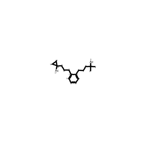 CC(=O)C(C)(C)CCCc1ccccc1CCCC1(C(C)=O)CC1